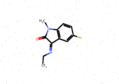 CN1C(=O)C(=NCC(F)(F)F)c2cc(F)ccc21